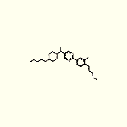 CCCCCc1ccc(-c2ncc(C(C)C3CCC(CCCCC)CC3)cn2)cc1C